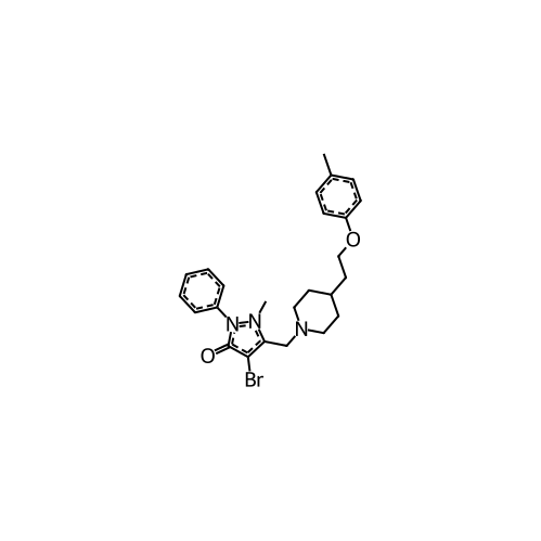 Cc1ccc(OCCC2CCN(Cc3c(Br)c(=O)n(-c4ccccc4)n3C)CC2)cc1